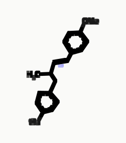 COc1ccc(/C=C/C(C)Cc2ccc(C(C)(C)C)cc2)cc1